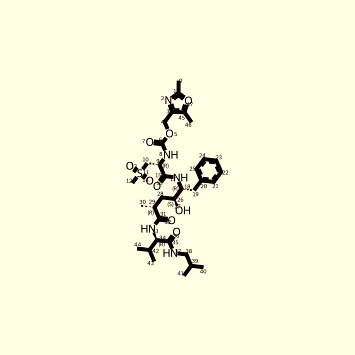 Cc1nc(COC(=O)N[C@@H](CS(C)(=O)=O)C(=O)N[C@H](Cc2ccccc2)[C@@H](O)C[C@@H](C)C(=O)N[C@@H](C(=O)NCC(C)C)C(C)C)c(C)o1